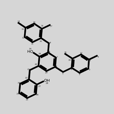 Cc1ccc(Cc2cc(Cc3ccc(C)cc3C)c(O)c(Cc3ccccc3O)c2)c(C)c1